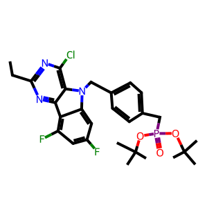 CCc1nc(Cl)c2c(n1)c1c(F)cc(F)cc1n2Cc1ccc(CP(=O)(OC(C)(C)C)OC(C)(C)C)cc1